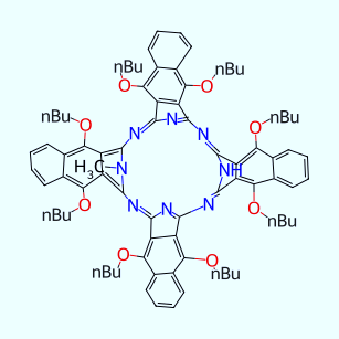 CCCCOc1c2c(c(OCCCC)c3ccccc13)-c1nc-2nc2[nH]c(nc3nc(nc4c5c(OCCCC)c6ccccc6c(OCCCC)c5c(n1)n4C)-c1c-3c(OCCCC)c3ccccc3c1OCCCC)c1c(OCCCC)c3ccccc3c(OCCCC)c21